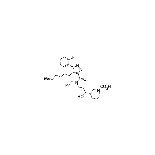 COCCCCc1c(C(=O)N(CC[C@@H](O)C2CCCN(C(=O)O)C2)CC(C)C)nnn1-c1ccccc1F